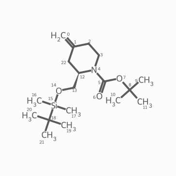 C=C1CCN(C(=O)OC(C)(C)C)[C@@H](CO[Si](C)(C)C(C)(C)C)C1